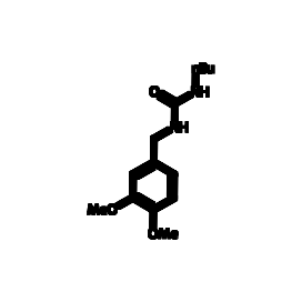 CCCCNC(=O)NCc1ccc(OC)c(OC)c1